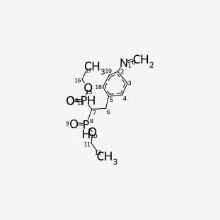 C=Nc1ccc(CC([PH](=O)OCC)[PH](=O)OCC)cc1